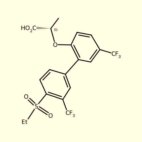 CCS(=O)(=O)c1ccc(-c2cc(C(F)(F)F)ccc2O[C@@H](C)C(=O)O)cc1C(F)(F)F